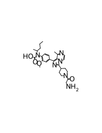 CCCC(C)N(C(=O)O)c1ccc(-c2nc(C3CCN(C(=O)CN)CC3)n3ccnc(C)c23)cc1OC